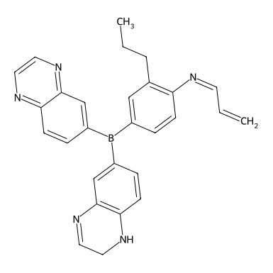 C=C/C=N\c1ccc(B(c2ccc3c(c2)N=CCN3)c2ccc3nccnc3c2)cc1CCC